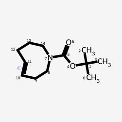 CC(C)(C)OC(=O)N1CC/C=C/CCC1